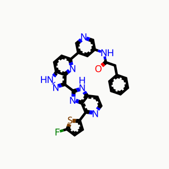 O=C(Cc1ccccc1)Nc1cncc(-c2ccc3[nH]nc(-c4nc5c(-c6ccc(F)s6)nccc5[nH]4)c3n2)c1